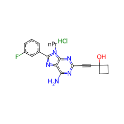 CCCn1c(-c2cccc(F)c2)nc2c(N)nc(C#CC3(O)CCC3)nc21.Cl